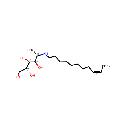 CCCCCC/C=C\CCCCCCCCN[C@@H](C=O)[C@@H](O)[C@H](O)[C@H](O)CO